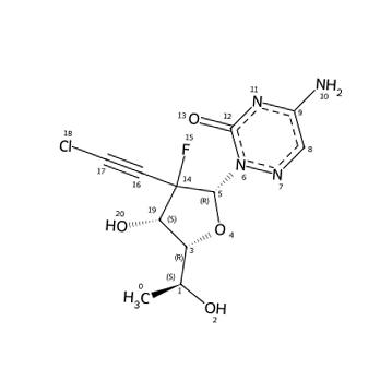 C[C@H](O)[C@H]1O[C@@H](n2ncc(N)nc2=O)C(F)(C#CCl)[C@H]1O